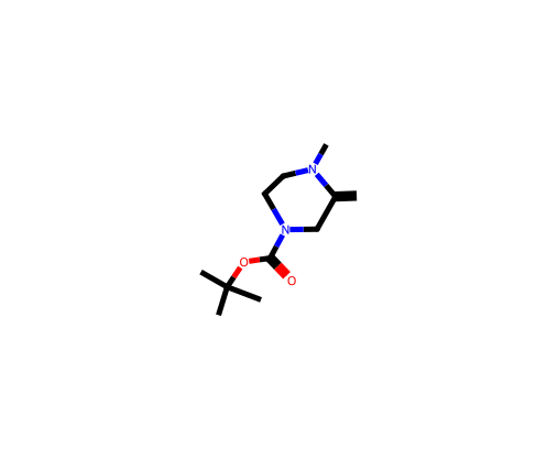 C=C1CN(C(=O)OC(C)(C)C)CCN1C